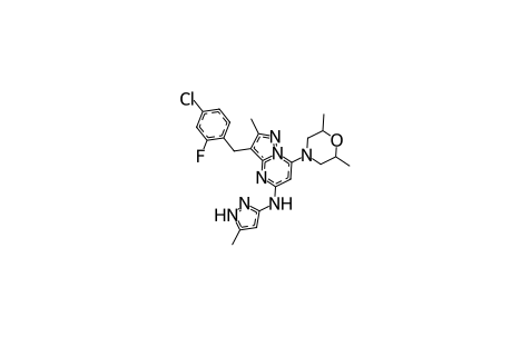 Cc1cc(Nc2cc(N3CC(C)OC(C)C3)n3nc(C)c(Cc4ccc(Cl)cc4F)c3n2)n[nH]1